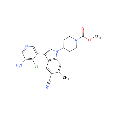 COC(=O)N1CCC(n2cc(-c3cncc(N)c3Cl)c3cc(C#N)c(C)cc32)CC1